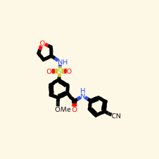 COc1ccc(S(=O)(=O)NC2CCOC2)cc1C(=O)Nc1ccc(C#N)cc1